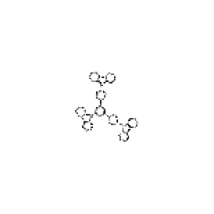 c1ccc2c(c1)c1ccccc1n2-c1ccc(-c2cc(-c3ccc(-n4c5ccccc5c5ccccc54)cc3)cc(-n3c4ccccc4c4ccccc43)c2)cc1